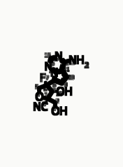 N#C[C@]1(CO)OC[C@](F)(c2ccc3c(N)ncnn23)[C@@H]1O